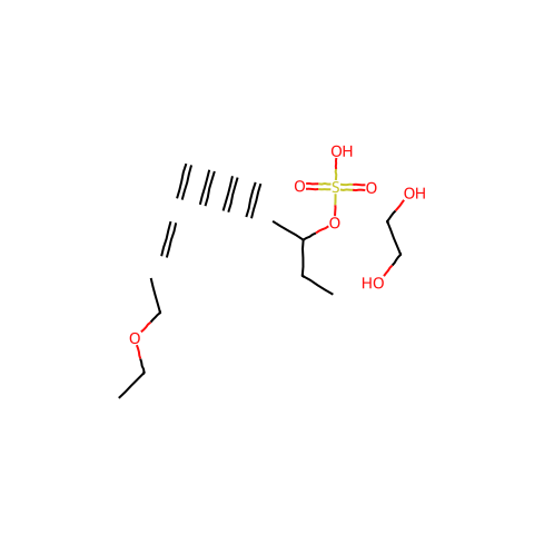 C=C.C=C.C=C.C=C.C=C.CCC(C)OS(=O)(=O)O.CCOCC.OCCO